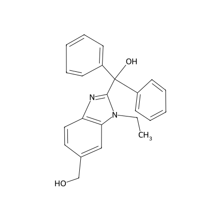 CCn1c(C(O)(c2ccccc2)c2ccccc2)nc2ccc(CO)cc21